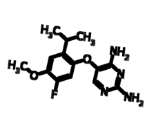 COc1cc(C(C)C)c(Oc2cnc(N)nc2N)cc1F